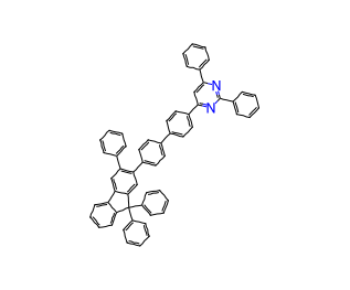 c1ccc(-c2cc(-c3ccc(-c4ccc(-c5cc6c(cc5-c5ccccc5)-c5ccccc5C6(c5ccccc5)c5ccccc5)cc4)cc3)nc(-c3ccccc3)n2)cc1